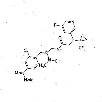 CNC(=O)c1ccc(C[C@@H](CNC(=O)CC(c2cncc(F)c2)C2(C(F)(F)F)CC2)N(C)C)c(Cl)c1